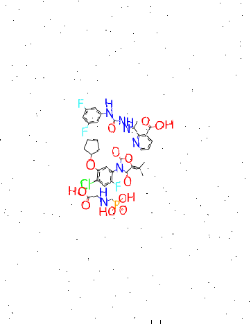 C/C(=N\NC(=O)Nc1cc(F)cc(F)c1)c1ncccc1C(=O)O.CC(C)=C1OC(=O)N(c2cc(OC3CCCC3)c(Cl)cc2F)C1=O.O=C(O)CNCP(=O)(O)O